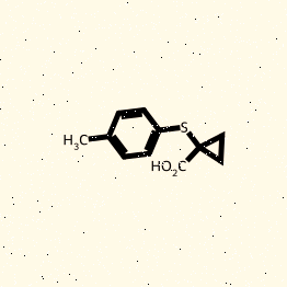 Cc1ccc(SC2(C(=O)O)CC2)cc1